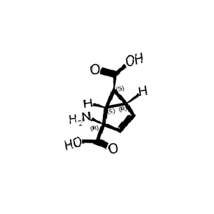 N[C@]1(C(=O)O)C=C[C@H]2[C@H](C(=O)O)[C@H]21